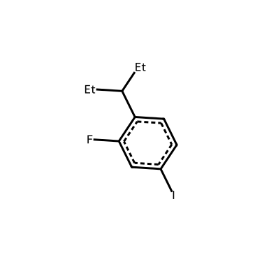 CCC(CC)c1ccc(I)cc1F